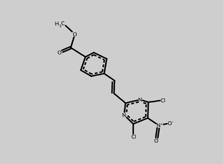 COC(=O)c1ccc(/C=C/c2nc(Cl)c([N+](=O)[O-])c(Cl)n2)cc1